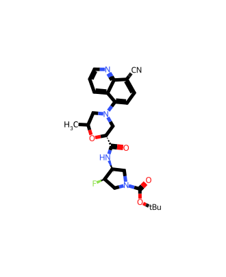 CC1CN(c2ccc(C#N)c3ncccc23)C[C@H](C(=O)N[C@H]2CN(C(=O)OC(C)(C)C)C[C@H]2F)O1